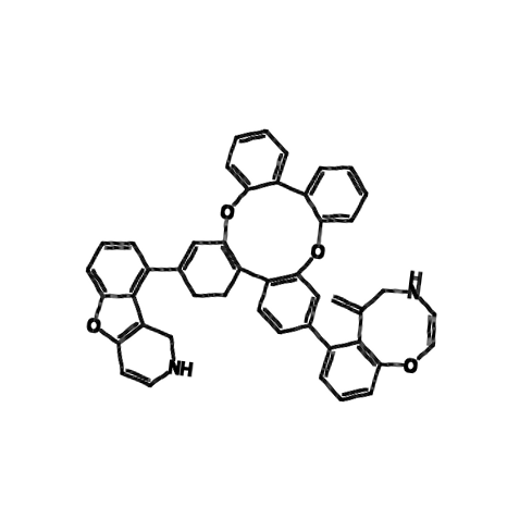 C=C1CN/C=C\Oc2cccc(-c3ccc4c(c3)Oc3ccccc3-c3ccccc3OC3=C4CCC(c4cccc5oc6c(c45)CNC=C6)=C3)c21